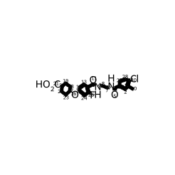 Cc1cc(C(=O)NCCNC(=O)c2ccc(O[C@H]3CC[C@@H](C(=O)O)CC3)cc2F)ccc1Cl